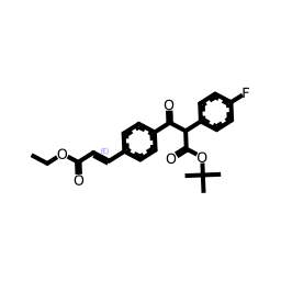 CCOC(=O)/C=C/c1ccc(C(=O)C(C(=O)OC(C)(C)C)c2ccc(F)cc2)cc1